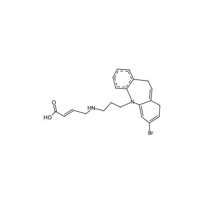 O=C(O)/C=C/CNCCCN1C2=CC(Br)=CCC2=CCc2ccccc21